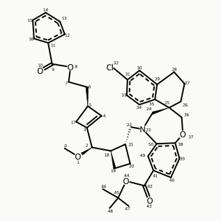 CO[C@@H](C1=C[C@H](CCOC(=O)c2ccccc2)C1)[C@@H]1CC[C@H]1CN1C[C@@]2(CCCc3cc(Cl)ccc32)COc2ccc(C(=O)OC(C)(C)C)cc21